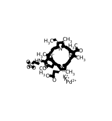 CC[C@H]1c2cc3[n-]c(c(CC(=O)OC)c4nc(cc5[n-]c(cc(n2)[C@@H]1C)c(C(C)=O)c5C)[C@@H](C)[C@@H]4CCC(=O)[O-])c(C(=O)NCCS(=O)(=O)[O-])c3C.[K+].[K+].[Pd+2]